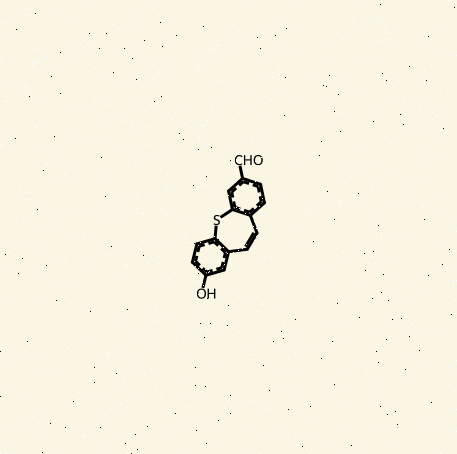 O=Cc1ccc2c(c1)Sc1ccc(O)cc1C=C2